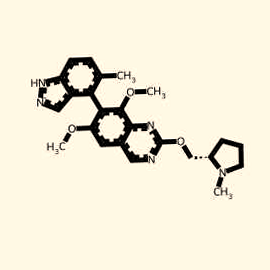 COc1cc2cnc(OC[C@@H]3CCCN3C)nc2c(OC)c1-c1c(C)ccc2[nH]ncc12